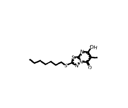 CCCCCCCSc1nn2c(=O)c(C)c(O)nc2s1